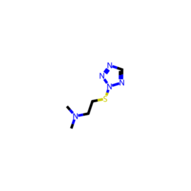 CN(C)CCSn1ncnn1